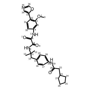 COc1cc(NC(=O)C(=O)NC(C)(C)Cc2ccc(NC(=O)CC3CCCC3)cc2)ccc1-c1cnco1